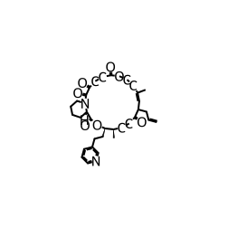 C=CCC1/C=C(/C)CCOC(=O)CCC(=O)C(=O)N2CCCC[C@H]2C(=O)O[C@H](CCc2cccnc2)[C@H](C)CCC1=O